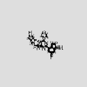 Fc1cc(-c2nc(N3CCOCC3)c3sc(CN4CC5CNCC5C4)nc3n2)c2cc[nH]c2c1